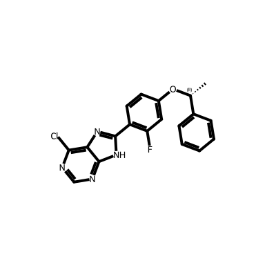 C[C@@H](Oc1ccc(-c2nc3c(Cl)ncnc3[nH]2)c(F)c1)c1ccccc1